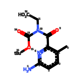 Cc1ccc(N)nc1C(=O)N(CC(=O)O)C(=O)OC(C)(C)C